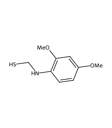 COc1ccc(NCS)c(OC)c1